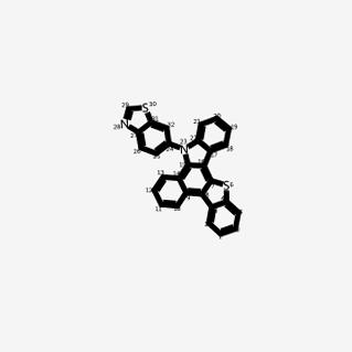 c1ccc2c(c1)sc1c2c2ccccc2c2c1c1ccccc1n2-c1ccc2ncsc2c1